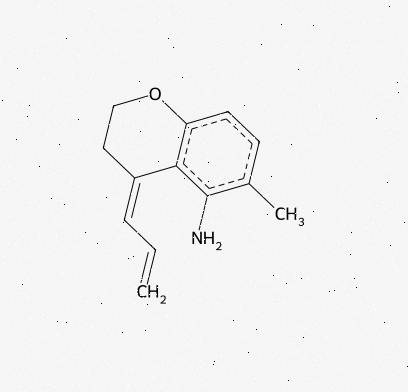 C=C/C=C1/CCOc2ccc(C)c(N)c21